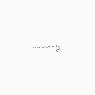 [CH2]CC(C=O)OCCCCCCCCCCCC